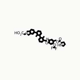 Cc1c(-c2ccc3c(c2)CN(CC(=O)O)C3)cccc1-c1cccc(-c2nc3cc(COC(=O)[C@@H]4CCCN4)c(OC(F)F)cc3o2)c1C